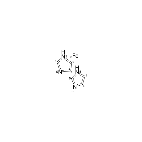 [Fe].c1c[nH]cn1.c1c[nH]cn1